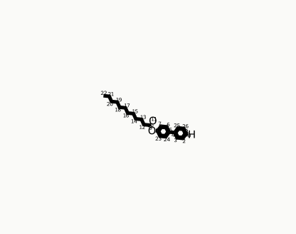 [2H]c1ccc(-c2ccc(OC(=O)CCCCCCCCCCC)cc2)cc1